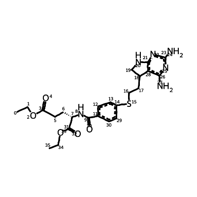 CCOC(=O)CC[C@H](NC(=O)c1ccc(SCCC2CNc3nc(N)nc(N)c32)cc1)C(=O)OCC